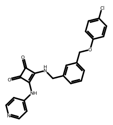 O=c1c(NCc2cccc(COc3ccc(Cl)cc3)c2)c(Nc2ccncc2)c1=O